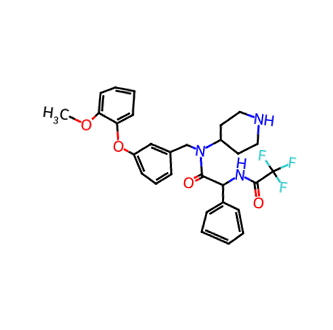 COc1ccccc1Oc1cccc(CN(C(=O)C(NC(=O)C(F)(F)F)c2ccccc2)C2CCNCC2)c1